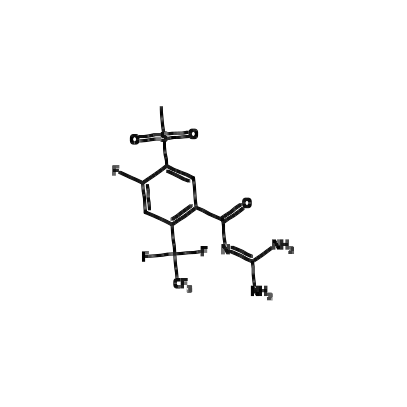 CS(=O)(=O)c1cc(C(=O)N=C(N)N)c(C(F)(F)C(F)(F)F)cc1F